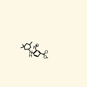 COC(=O)c1ccc(NC2CC(C)CC(C)(C)C2)c(N=O)c1